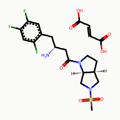 CS(=O)(=O)N1C[C@@H]2CCN(C(=O)C[C@H](N)Cc3cc(F)c(F)cc3F)[C@@H]2C1.O=C(O)/C=C/C(=O)O